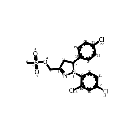 CS(=O)(=O)OCC1=NN(c2ccc(Cl)cc2Cl)C(c2ccc(Cl)cc2)C1